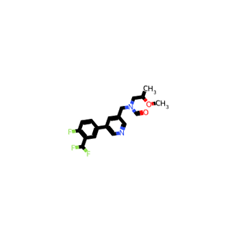 COC(C)CN(C=O)Cc1cncc(-c2ccc(F)c(C(F)F)c2)c1